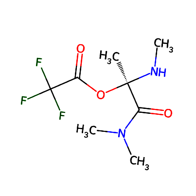 CN[C@](C)(OC(=O)C(F)(F)F)C(=O)N(C)C